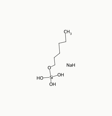 CCCCCCO[Si](O)(O)O.[NaH]